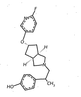 CC(CN1C[C@H]2C[C@H](Oc3ccc(F)nc3)C[C@H]2C1)c1ccc(O)cc1